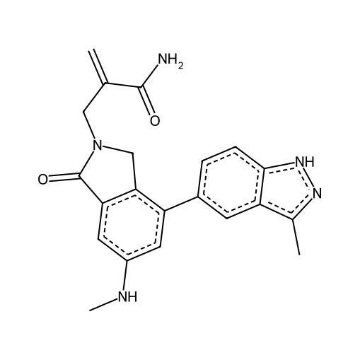 C=C(CN1Cc2c(cc(NC)cc2-c2ccc3[nH]nc(C)c3c2)C1=O)C(N)=O